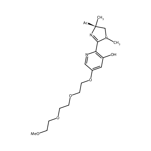 COCCOCCOCCOc1cnc(C2=N[C@@](C)(C(C)=O)CN2C)c(O)c1